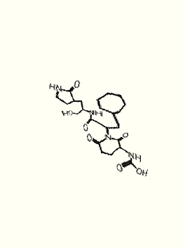 O=C(O)NC1CCC(=O)N(C(CC2CCCCC2)C(=O)NC(CO)CC2CCNC2=O)C1=O